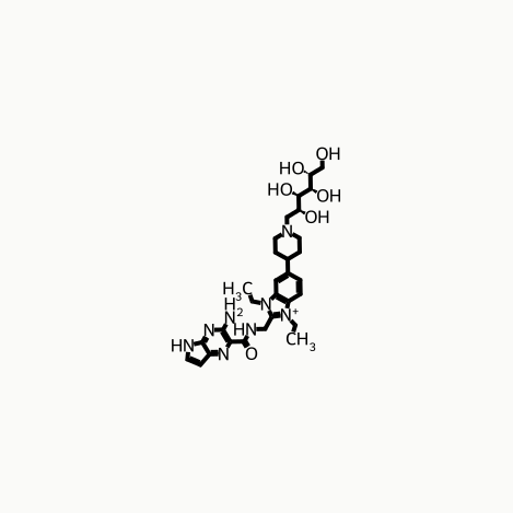 CCn1c(CNC(=O)c2nc3cc[nH]c3nc2N)[n+](CC)c2ccc(C3CCN(C[C@H](O)[C@@H](O)[C@H](O)[C@H](O)CO)CC3)cc21